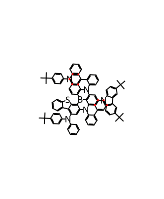 CC(C)(C)c1ccc(N(c2ccccc2)c2ccc3c(c2)N(c2ccccc2-c2ccccc2)c2cc(-n4c5ccc(C(C)(C)C)cc5c5cc(C(C)(C)C)ccc54)cc4c2B3c2c(cc(N(c3ccccc3)c3ccc(C(C)(C)C)cc3)c3c2sc2ccccc23)N4c2ccccc2-c2ccccc2)cc1